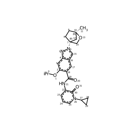 CC(C)Oc1cc2nn([C@]34CC[C@](C)(C3)OC4)cc2cc1C(=O)Nc1cccn(C2CC2)c1=O